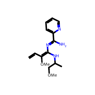 C=C/C(OC)=C(\N=C(/N)c1ccccn1)NC(C)COC